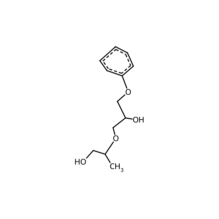 CC(CO)OCC(O)COc1ccccc1